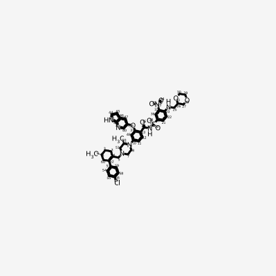 C[C@@H]1CCC(CN2CCN(c3ccc(C(=O)NS(=O)(=O)c4ccc(NCC5COCCO5)c([N+](=O)[O-])c4)c(Oc4cnc5[nH]ccc5c4)c3)[C@H](C)C2)=C(c2ccc(Cl)cc2)C1